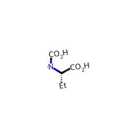 CC[C@H]([N]C(=O)O)C(=O)O